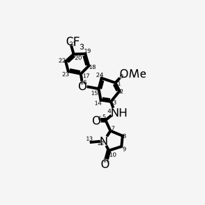 COc1cc(NC(=O)C2CCC(=O)N2C)cc(Oc2ccc(C(F)(F)F)cc2)c1